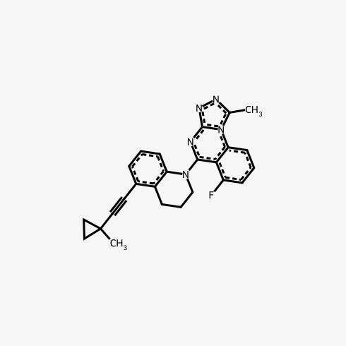 Cc1nnc2nc(N3CCCc4c(C#CC5(C)CC5)cccc43)c3c(F)cccc3n12